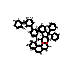 c1ccc(C2(c3ccccc3)c3ccccc3-c3c(N(c4ccc(-c5cccc6c5sc5ccccc56)cc4)c4cccc5ccc6ccccc6c45)cccc32)cc1